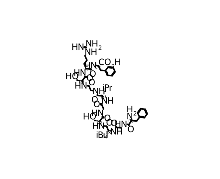 CC[C@H](C)[C@H](NC(=O)CNC(=O)[C@@H](N)Cc1ccccc1)C(=O)N[C@@H](CO)C(=O)NCC(=O)N[C@@H](CC(C)C)C(=O)NCC(=O)N[C@@H](CO)C(=O)N[C@@H](CCCNC(=N)N)C(=O)N[C@@H](Cc1ccccc1)C(=O)O